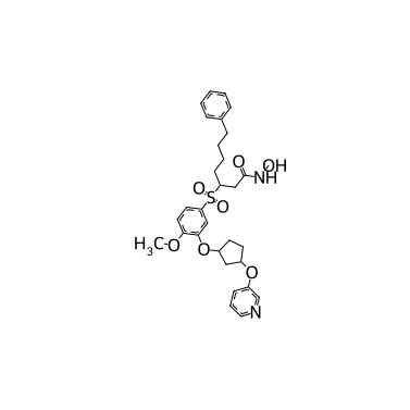 COc1ccc(S(=O)(=O)C(CCCCc2ccccc2)CC(=O)NO)cc1OC1CCC(Oc2cccnc2)C1